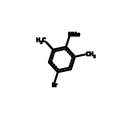 CNc1c(C)cc(Br)cc1C